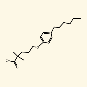 CCCCCCc1ccc(OCCCC(C)(C)C(=O)Cl)cc1